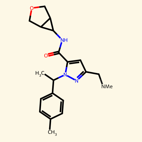 CNCc1cc(C(=O)NC2C3COCC32)n(C(C)c2ccc(C)cc2)n1